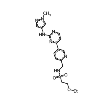 CCOCCS(=O)(=O)NCc1ccc(-c2ccnc(Nc3cnn(C)c3)n2)cn1